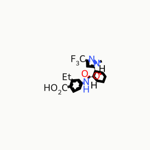 CCc1cc(NC(=O)[C@@H]2[C@H](c3cc(C(F)(F)F)nn3C)[C@@H]3CC[C@H]2O3)ccc1C(=O)O